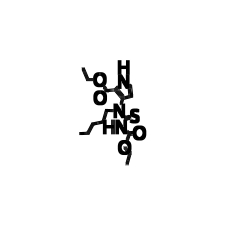 CCCCCN(C(=S)NC(=O)OCC)c1cc[nH]c1C(=O)OCC